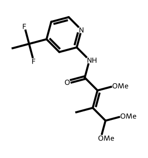 CO/C(C(=O)Nc1cc(C(C)(F)F)ccn1)=C(/C)C(OC)OC